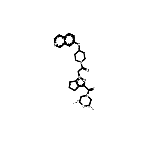 C[C@@H]1CN(C(=O)c2nn(CC(=O)N3CCC(Oc4ccc5ccncc5c4)CC3)c3c2CCC3)C[C@H](C)O1